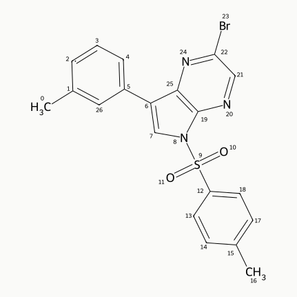 Cc1[c]ccc(-c2cn(S(=O)(=O)c3ccc(C)cc3)c3ncc(Br)nc23)c1